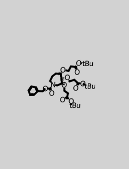 CC(C)(C)OC(=O)CCO[C@@H]1[C@@H](OCCC(=O)OC(C)(C)C)CN(C(=O)OCc2ccccc2)CCC[C@H]1OCCC(=O)OC(C)(C)C